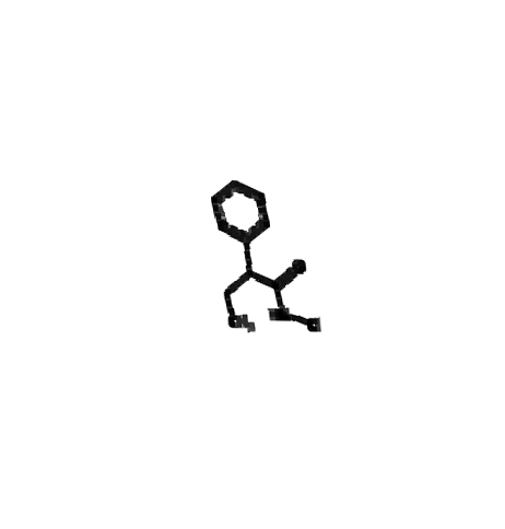 CCC(C(=O)NCl)c1ccccc1